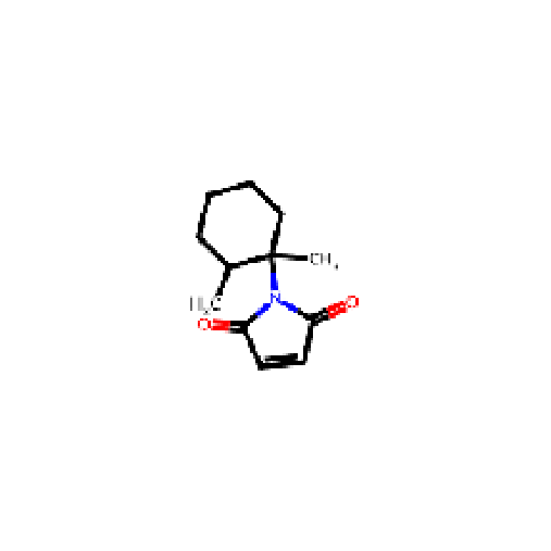 CC1CCCCC1(C)N1C(=O)C=CC1=O